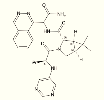 CC(C)[C@H](Nc1cncnc1)C(=O)N1C[C@H]2[C@@H]([C@H]1C(=O)NC(C(N)=O)c1nncc3ccccc13)C2(C)C